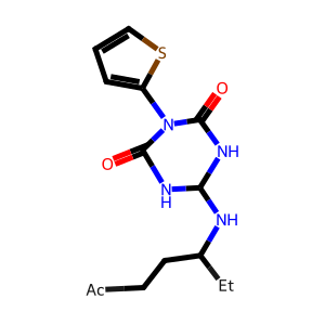 CCC(CCC(C)=O)NC1NC(=O)N(c2cccs2)C(=O)N1